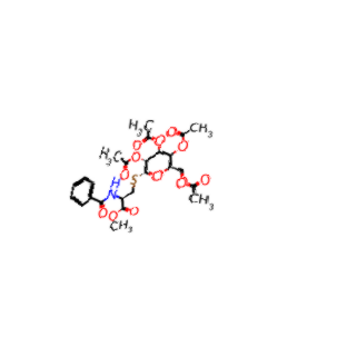 COC(=O)[C@H](CS[C@H]1O[C@H](COC(C)=O)[C@H](OC(C)=O)[C@H](OC(C)=O)[C@H]1OC(C)=O)NC(=O)c1ccccc1